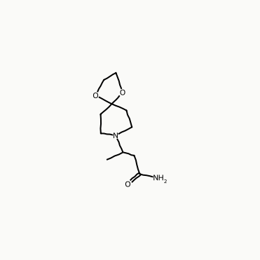 CC(CC(N)=O)N1CCC2(CC1)OCCO2